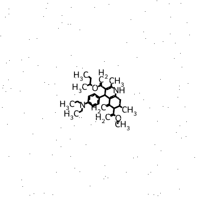 C=C(OC(C)CC)C1=C(C)NC2=C(C(=C)C(C(=C)OC)C(C)C2)C1c1ccc(N(CC)CC)cc1